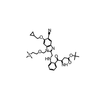 CC(C)(C)OC(=O)CC(=N)C(=O)c1ccccc1NCc1nc2cc(C#N)c(OCC3CC3)cc2n1COCCS(C)(C)C